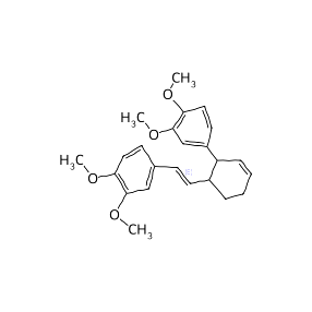 COc1ccc(/C=C/C2CCC=CC2c2ccc(OC)c(OC)c2)cc1OC